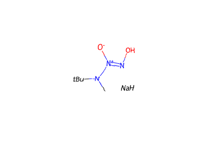 CN([N+]([O-])=NO)C(C)(C)C.[NaH]